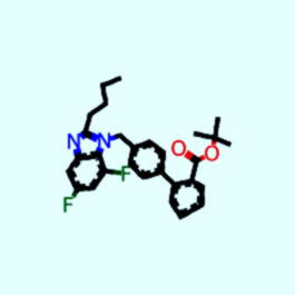 CCCCc1nc2cc(F)cc(F)c2n1Cc1ccc(-c2ccccc2C(=O)OC(C)(C)C)cc1